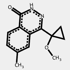 COC1(c2n[nH]c(=O)c3ccc(C)cc23)CC1